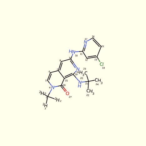 [2H]C([2H])([2H])n1ccc2cc(Nc3cc(Cl)ccn3)nc(NC(C)(C)C)c2c1=O